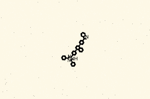 C1=CC2=C(c3ccc(-c4ccc(-c5ccc(C6N=C(c7ccccc7)N=C(c7ccccc7)N6)cc5)c5ccccc45)cc3)C=NC2C=C1